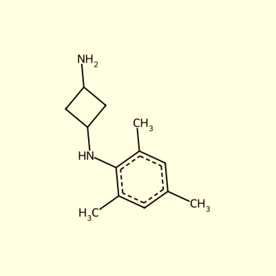 Cc1cc(C)c(NC2CC(N)C2)c(C)c1